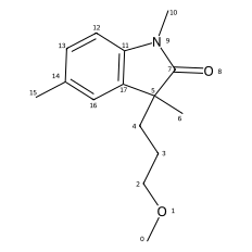 COCCCC1(C)C(=O)N(C)c2ccc(C)cc21